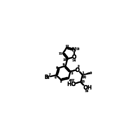 C[C@H](Oc1ccc(Br)cc1-c1ccno1)C(O)O